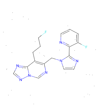 FCCCc1c(Cn2ccnc2-c2ncccc2F)ncn2ncnc12